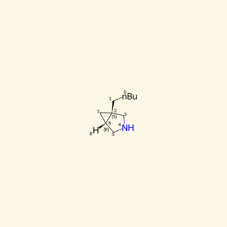 CCCCC[C@@]12CNC[C@@H]1C2